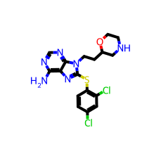 Nc1ncnc2c1nc(Sc1ccc(Cl)cc1Cl)n2CCC1CNCCO1